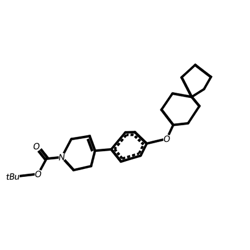 CC(C)(C)OC(=O)N1CC=C(c2ccc(OC3CCC4(CCCC4)CC3)cc2)CC1